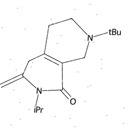 C=C1CC2=C(CN(C(C)(C)C)CC2)C(=O)N1C(C)C